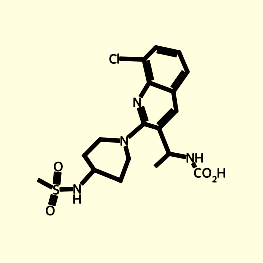 CC(NC(=O)O)c1cc2cccc(Cl)c2nc1N1CCC(NS(C)(=O)=O)CC1